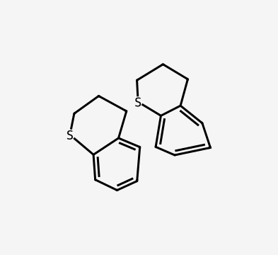 c1ccc2c(c1)CCCS2.c1ccc2c(c1)CCCS2